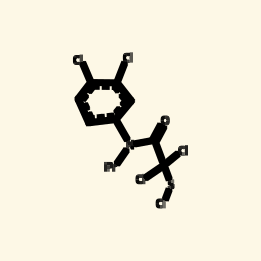 CC(C)N(C(=O)C(Cl)(Cl)SCl)c1ccc(Cl)c(Cl)c1